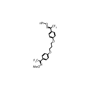 CCCON=C(c1ccc(OCCCOc2ccc(C(=NOC)C(F)(F)F)cc2)cc1)C(F)(F)F